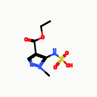 CCOC(=O)c1cnn(C)c1NS(=O)(=O)O